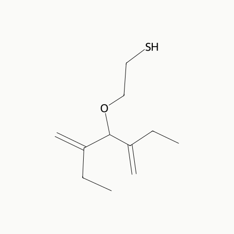 C=C(CC)C(OCCS)C(=C)CC